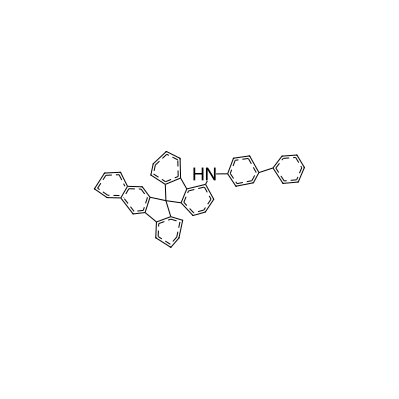 c1ccc(-c2ccc(Nc3cccc4c3-c3ccccc3C43c4ccccc4-c4cc5ccccc5cc43)cc2)cc1